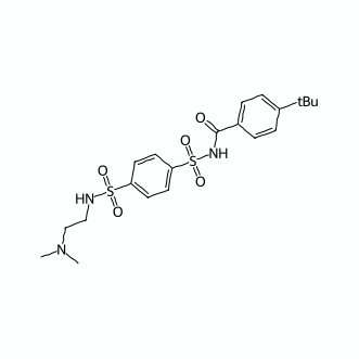 CN(C)CCNS(=O)(=O)c1ccc(S(=O)(=O)NC(=O)c2ccc(C(C)(C)C)cc2)cc1